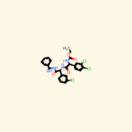 CCOC(=O)NC(C(=O)NC(C(=O)NC(=N)c1ccccc1)c1cccc(Cl)c1)c1ccc(Cl)c(Cl)c1